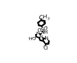 Cc1ccc(S(=O)(=O)Nc2ncc(O)c3cc4c(Cl)ccnc4n23)cc1